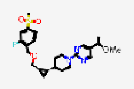 COC(C)c1cnc(N2CCC([C@H]3C[C@H]3COCc3ccc(S(C)(=O)=O)cc3F)CC2)nc1